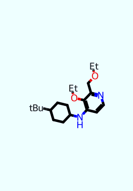 CCOCc1nccc(NC2CCC(C(C)(C)C)CC2)c1OCC